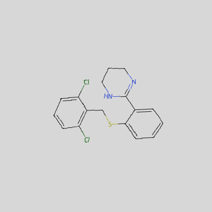 Clc1cccc(Cl)c1CSc1ccccc1C1=NCCCN1